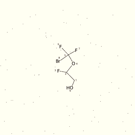 OCC(F)OC(F)(F)Br